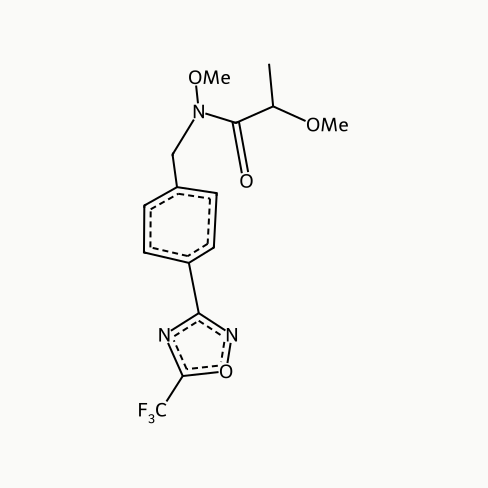 COC(C)C(=O)N(Cc1ccc(-c2noc(C(F)(F)F)n2)cc1)OC